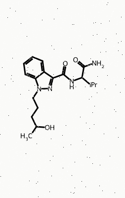 CC(O)CCCn1nc(C(=O)NC(C(N)=O)C(C)C)c2ccccc21